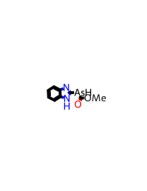 COC(=O)[AsH]c1nc2ccccc2[nH]1